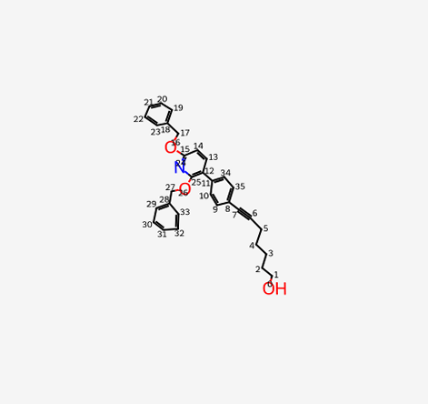 OCCCCCC#Cc1ccc(-c2ccc(OCc3ccccc3)nc2OCc2ccccc2)cc1